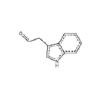 O=CCc1c[nH]c2[c]cccc12